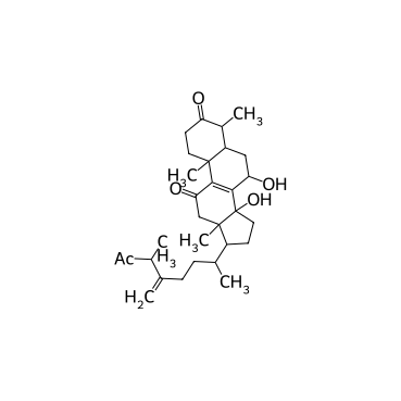 C=C(CCC(C)C1CCC2(O)C3=C(C(=O)CC12C)C1(C)CCC(=O)C(C)C1CC3O)C(C)C(C)=O